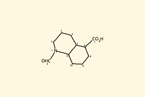 O=CN1CCCC2C(C(=O)O)CCCC21